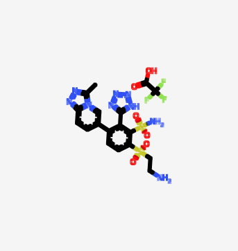 Cc1nnc2ccc(-c3ccc(S(=O)(=O)CCN)c(S(N)(=O)=O)c3-c3nnn[nH]3)cn12.O=C(O)C(F)(F)F